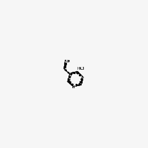 Cl.N=Cc1cncnc1